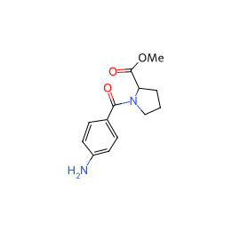 COC(=O)C1CCCN1C(=O)c1ccc(N)cc1